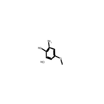 COc1ccc(O)c(N)c1.Cl